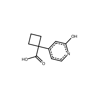 O=C(O)C1(c2ccnc(O)c2)CCC1